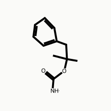 CC(C)(Cc1ccccc1)OC([NH])=O